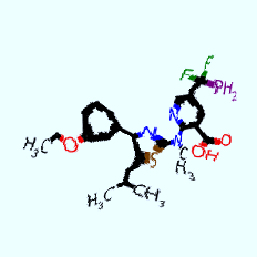 CCOc1cccc(-c2nc(N(C)c3ncc(C(F)(F)P)cc3C(=O)O)sc2CC(C)C)c1